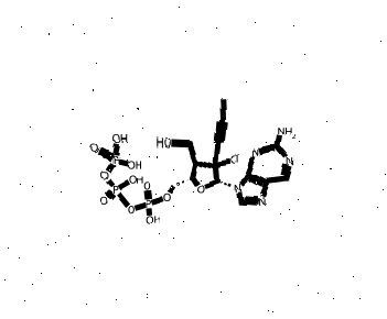 CC#CC1(Cl)C(CO)[C@@H](COP(=O)(O)OP(=O)(O)OP(=O)(O)O)O[C@H]1n1cnc2cnc(N)nc21